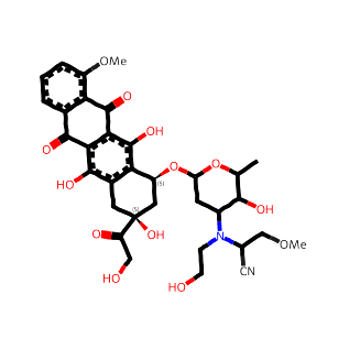 COCC(C#N)N(CCO)C1CC(O[C@H]2C[C@](O)(C(=O)CO)Cc3c(O)c4c(c(O)c32)C(=O)c2c(OC)cccc2C4=O)OC(C)C1O